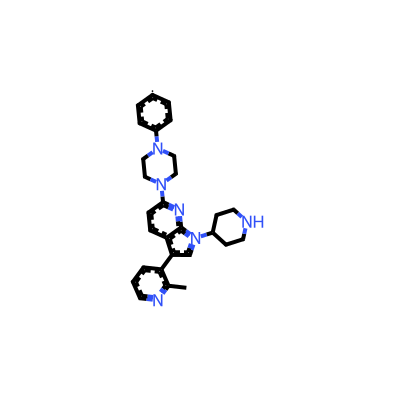 Cc1ncccc1-c1cn(C2CCNCC2)c2nc(N3CCN(c4cc[c]cc4)CC3)ccc12